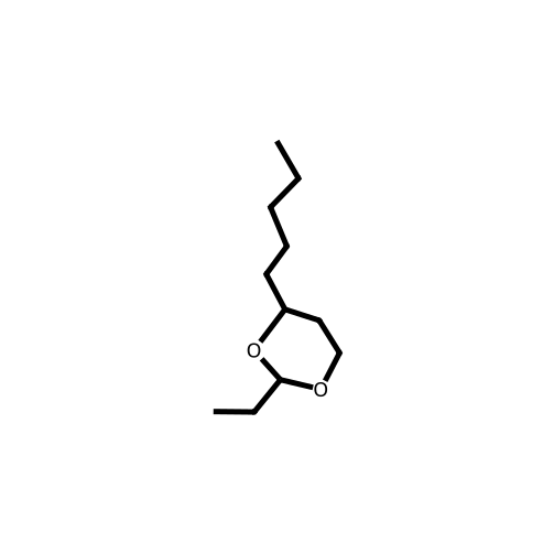 CCCCCC1CCOC(CC)O1